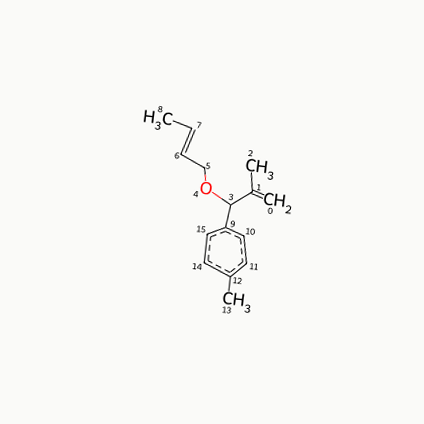 C=C(C)C(OC/C=C/C)c1ccc(C)cc1